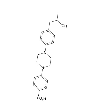 CC(O)Cc1ccc(N2CCN(c3ccc(C(=O)O)cc3)CC2)cc1